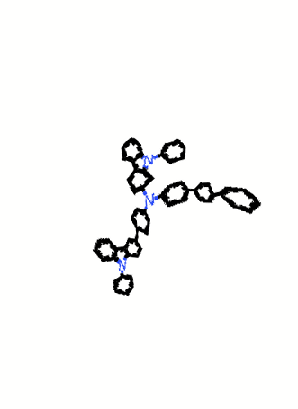 c1ccc(-c2ccc(-c3ccc(N(c4ccc(-c5ccc6c(c5)c5ccccc5n6-c5ccccc5)cc4)c4ccc5c6ccccc6n(-c6ccccc6)c5c4)cc3)cc2)cc1